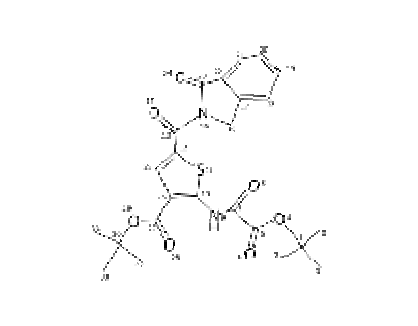 CC(C)(C)OC(=O)C(=O)Nc1sc(C(=O)N2Cc3ccccc3C2=O)cc1C(=O)OC(C)(C)C